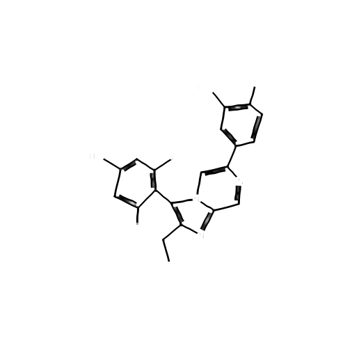 Oc1cc(F)c(-c2c(CC(F)(F)F)nc3cnc(-c4ccc(F)c(C(F)(F)F)c4)cn23)c(F)c1